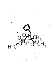 CCOC(=O)CC(=O)N(Cc1ccccc1)C(C)(C)C(=O)OC